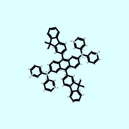 CC1(C)c2ccccc2-c2ccc(-c3c4ccc(N(c5cccnc5)c5cccnc5)cc4c(-c4ccc5c(c4)C(C)(C)c4ccccc4-5)c4ccc(N(c5cccnc5)c5cccnc5)cc34)cc21